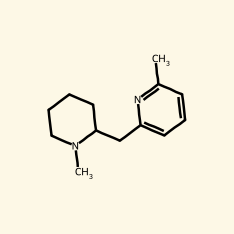 Cc1cccc(CC2CCCCN2C)n1